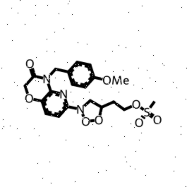 COc1ccc(CN2C(=O)COc3ccc(N4CC(CCOS(C)(=O)=O)OO4)nc32)cc1